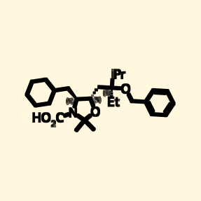 CC[C@@](C[C@@H]1OC(C)(C)N(C(=O)O)[C@H]1CC1CCCCC1)(OCc1ccccc1)C(C)C